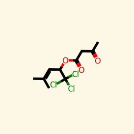 CC(=O)CC(=O)OC(C=C(C)C)C(Cl)(Cl)Cl